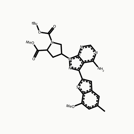 COC(=O)C1CC(n2nc(-c3cc4cc(C)cc(OC)c4s3)c3c(N)ncnc32)CN1C(=O)OC(C)(C)C